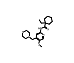 CCC1(C(=O)Nc2cc(CN3CCOCC3)c(OC)cn2)CCCCC1